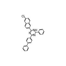 Clc1ccc2cc(C3=NC(c4ccc(-c5ccccc5)cc4)=NC(c4ccccc4)N3)ccc2c1